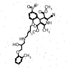 COC(=O)C1=C(C)NC(C#N)=C(C(=O)OC)C1c1cc([N+](=O)[O-])ccc1OCCCCNCC(O)COc1ccccc1C